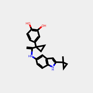 C=C(Nc1ccc2[nH]c(C3(C)CC3)cc2c1)C1(c2ccc(O)c(O)c2)CC1